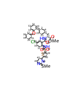 COC(=O)[C@H](Cc1ccc(-c2ccccc2Oc2ccccc2)cc1)NC(=O)c1cc(Cl)ccc1NS(=O)(=O)c1ccc(-c2ccnc(SC)n2)s1